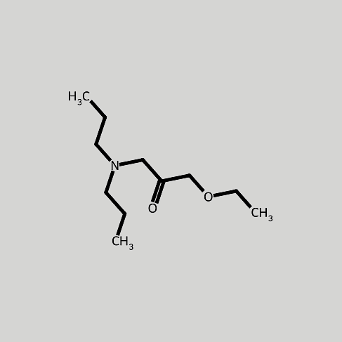 CCCN(CCC)CC(=O)COCC